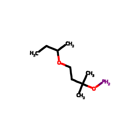 CCC(C)OCCC(C)(C)OP